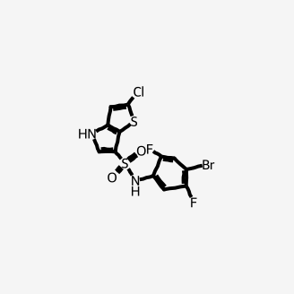 O=S(=O)(Nc1cc(F)c(Br)cc1F)c1c[nH]c2cc(Cl)sc12